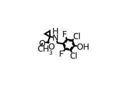 COC(=O)C1(NCc2c(F)c(Cl)c(O)c(Cl)c2F)CC1